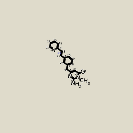 Cn1c(N)nc(Cc2cccc(/C=C/c3ccccn3)c2)cc1=O